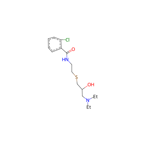 CCN(CC)CC(O)CSCCNC(=O)c1ccccc1Cl